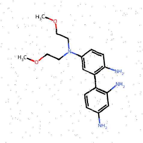 COCCN(CCOC)c1ccc(N)c(-c2ccc(N)cc2N)c1